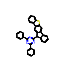 c1ccc(-c2nc(-c3ccccc3)nc(C3c4ccccc4-c4cc5sc6ccccc6c5cc43)n2)cc1